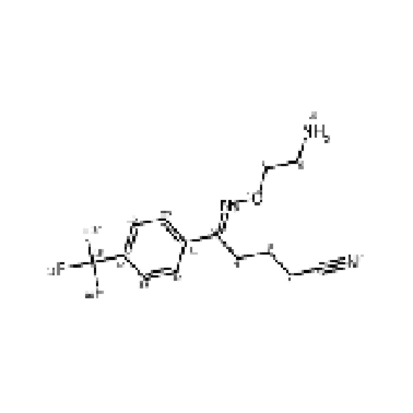 N#CCCCC(=NOCCN)c1ccc(C(F)(F)F)cc1